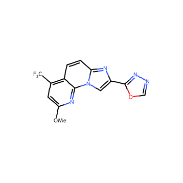 COc1cc(C(F)(F)F)c2ccc3nc(-c4nnco4)cn3c2n1